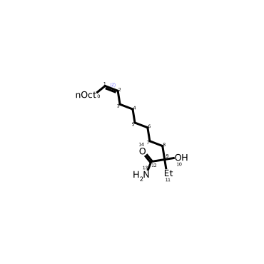 CCCCCCCC/C=C\CCCCCCC(O)(CC)C(N)=O